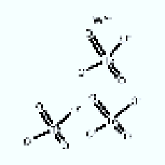 O=[Te](=O)([O-])[O-].O=[Te](=O)([O-])[O-].O=[Te](=O)([O-])[O-].[W+6]